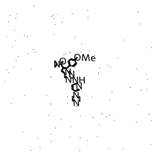 COc1ccc(-c2c(C(=O)N(C)C)cc3cnc(Nc4ccc(N5CCN(C)CC5)cn4)nn23)cc1